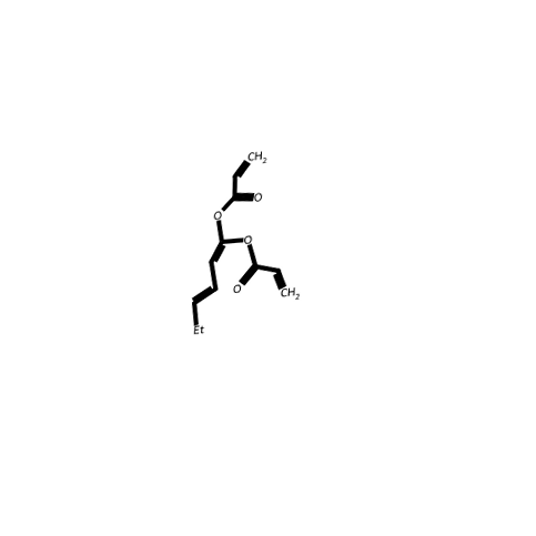 C=CC(=O)OC(=CC=CCC)OC(=O)C=C